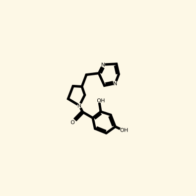 O=C(c1ccc(O)cc1O)N1CCC(Cc2cnccn2)C1